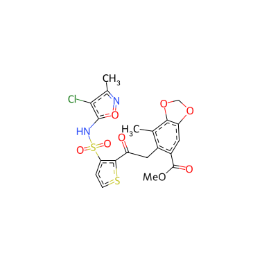 COC(=O)c1cc2c(c(C)c1CC(=O)c1sccc1S(=O)(=O)Nc1onc(C)c1Cl)OCO2